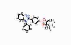 C=C1OB(c2ccc(-c3nc4ccccc4n3-c3ccccc3)cc2)OC1(C)C